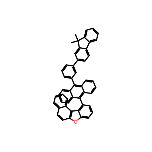 CC1(C)c2ccccc2-c2ccc(-c3cccc(-c4c5ccccc5c(-c5cccc6oc7ccc8ccccc8c7c56)c5ccccc45)c3)cc21